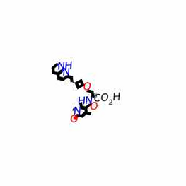 Cc1cc(=O)n(C)c(C)c1C(=O)N[C@@H](CCO[C@H]1C[C@@H](CCc2ccc3c(n2)NCCC3)C1)C(=O)O